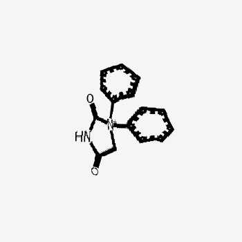 O=C1C[N+](c2ccccc2)(c2ccccc2)C(=O)N1